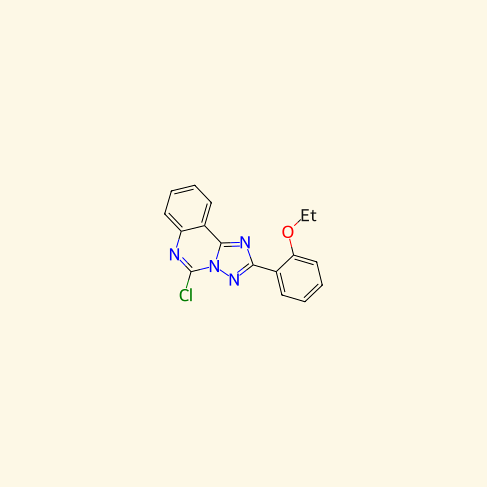 CCOc1ccccc1-c1nc2c3ccccc3nc(Cl)n2n1